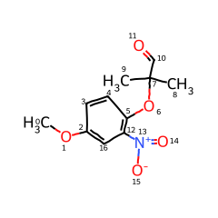 COc1ccc(OC(C)(C)C=O)c([N+](=O)[O-])c1